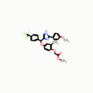 COC(=O)COc1ccc(OC(c2ccc(C(F)(F)F)cc2)c2c[nH]c(-c3ccc(OC)cc3)n2)cc1C